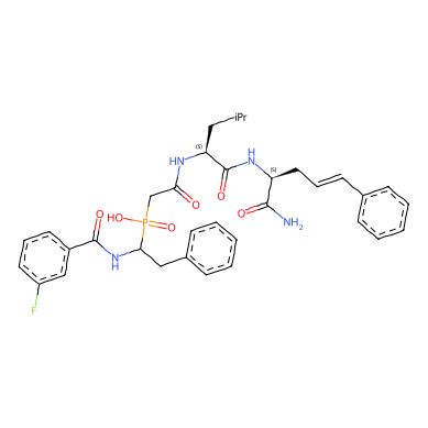 CC(C)C[C@H](NC(=O)CP(=O)(O)C(Cc1ccccc1)NC(=O)c1cccc(F)c1)C(=O)N[C@@H](CC=Cc1ccccc1)C(N)=O